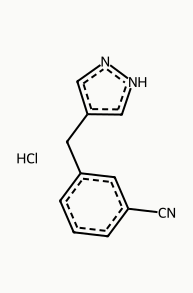 Cl.N#Cc1cccc(Cc2cn[nH]c2)c1